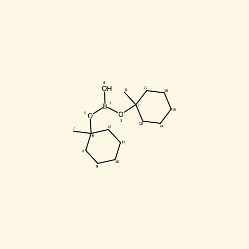 CC1(OB(O)OC2(C)CCCCC2)CCCCC1